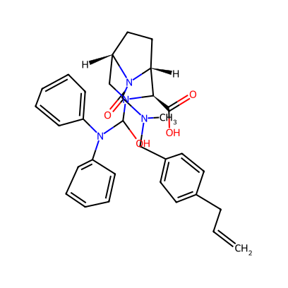 C=CCc1ccc(CN(C)C(=O)N2[C@H]3CC[C@@H]2[C@@H](C(=O)O)N(C(O)N(c2ccccc2)c2ccccc2)C3)cc1